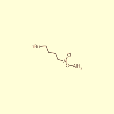 CCCCCCC[CH2][Al]([Cl])[O][AlH2]